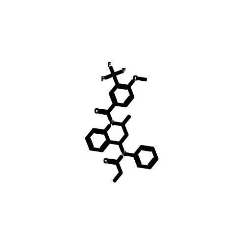 CCC(=O)N(c1ccccc1)C1CC(C)N(C(=O)c2ccc(OC)c(C(F)(F)F)c2)c2ccccc21